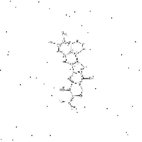 CC(C)=C1OCc2c(cc3n(c2=O)Cc2c-3nc3cc(F)c(C)c4c3c2CCC4)C1O